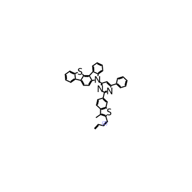 C=C/C=C\c1sc2cc(-c3nc(-c4ccccc4)cc(-n4c5ccccc5c5c6sc7ccccc7c6ccc54)n3)ccc2c1C